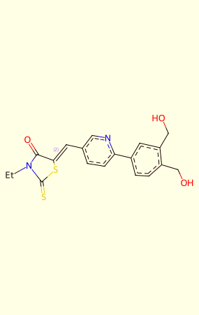 CCN1C(=O)/C(=C/c2ccc(-c3ccc(CO)c(CO)c3)nc2)SC1=S